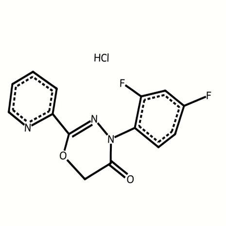 Cl.O=C1COC(c2ccccn2)=NN1c1ccc(F)cc1F